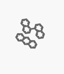 c1ccc2c(-c3cccc4ccccc34)cccc2c1.c1ccc2cc3ccccc3cc2c1